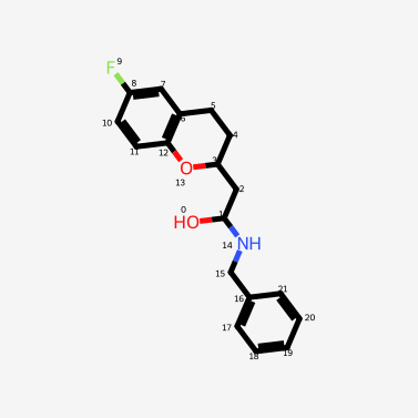 OC(CC1CCc2cc(F)ccc2O1)NCc1ccccc1